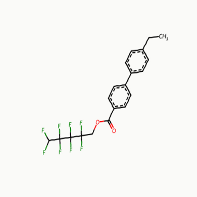 CCc1ccc(-c2ccc(C(=O)OCC(F)(F)C(F)(F)C(F)(F)C(F)F)cc2)cc1